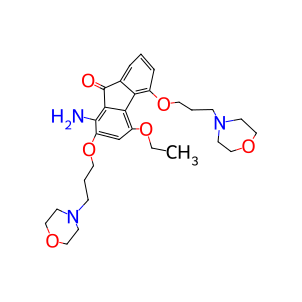 CCOc1cc(OCCCN2CCOCC2)c(N)c2c1-c1c(OCCCN3CCOCC3)cccc1C2=O